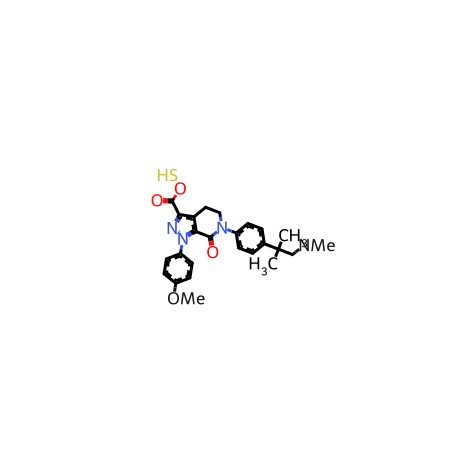 CNCC(C)(C)c1ccc(N2CCc3c(C(=O)OS)nn(-c4ccc(OC)cc4)c3C2=O)cc1